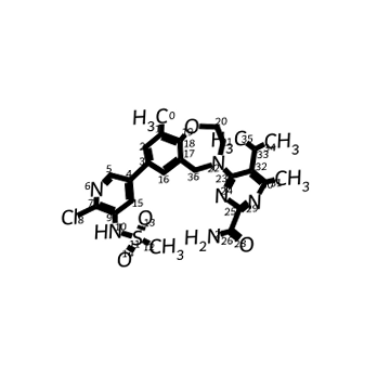 Cc1cc(-c2cnc(Cl)c(NS(C)(=O)=O)c2)cc2c1OCCN(c1nc(C(N)=O)nc(C)c1C(C)C)C2